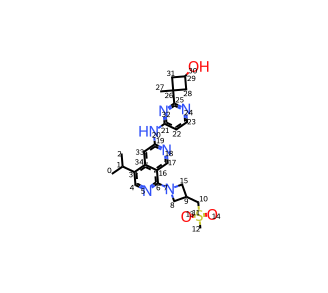 CC(C)c1cnc(N2CC(CS(C)(=O)=O)C2)c2cnc(Nc3ccnc(C4(C)CC(O)C4)n3)cc12